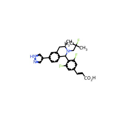 C[C@@H]1Cc2cc(-c3cn[nH]c3)ccc2C(c2c(F)cc(/C=C/C(=O)O)cc2F)N1CC(C)(C)F